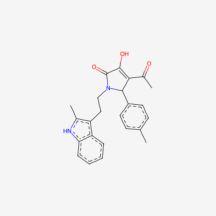 CC(=O)C1=C(O)C(=O)N(CCc2c(C)[nH]c3ccccc23)C1c1ccc(C)cc1